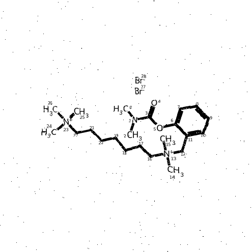 CN(C)C(=O)Oc1ccccc1C[N+](C)(C)CCCCCCC[N+](C)(C)C.[Br-].[Br-]